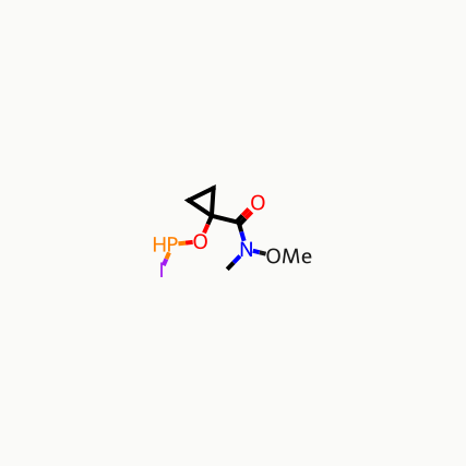 CON(C)C(=O)C1(OPI)CC1